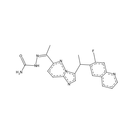 C/C(=N/NC(N)=O)c1ccc2ncc(C(C)c3cc4cccnc4cc3F)n2n1